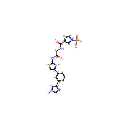 Cn1cnc(-c2cccc(-c3csc(NC(=O)CNC(=O)c4ccn(S(C)(=O)=O)c4)n3)c2)c1